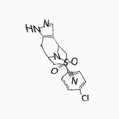 N#CC1CC2Cc3[nH]ncc3C(C1)N2S(=O)(=O)c1ccc(Cl)cc1